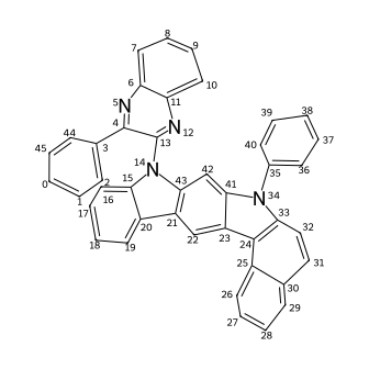 c1ccc(-c2nc3ccccc3nc2-n2c3ccccc3c3cc4c5c6ccccc6ccc5n(-c5ccccc5)c4cc32)cc1